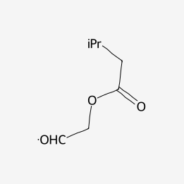 CC(C)CC(=O)OC[C]=O